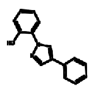 Oc1ccccc1-n1cc(-c2ccccc2)cn1